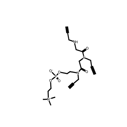 C#CCNCC(=O)N(CC#C)CC(=O)N(CC#C)CCOP(=O)([O-])OCC[N+](C)(C)C